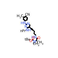 CCCNc1nc(Nc2ccc(C#N)c(C)c2)ncc1C#CCCCNC(=O)[C@H](C)N(C)C(=O)OC(C)(C)C